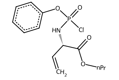 C=C[C@H](NP(=O)(Cl)Oc1ccccc1)C(=O)OCCC